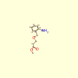 COC(=O)CCOCc1ccccc1N